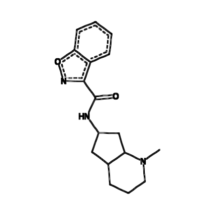 CN1CCCC2CC(NC(=O)c3noc4ccccc34)CC21